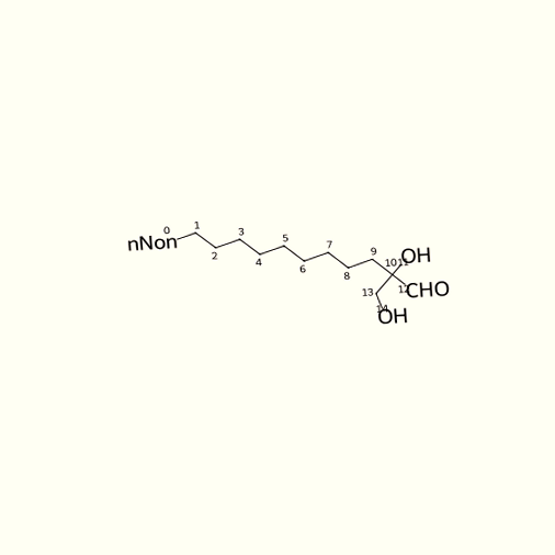 CCCCCCCCCCCCCCCCCCC(O)(C=O)CO